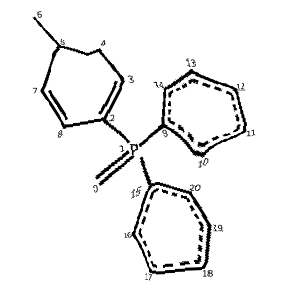 C=P(C1=CCC(C)C=C1)(c1ccccc1)c1ccccc1